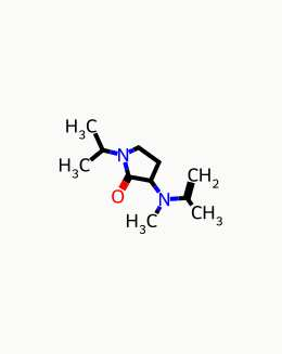 C=C(C)N(C)C1CCN(C(C)C)C1=O